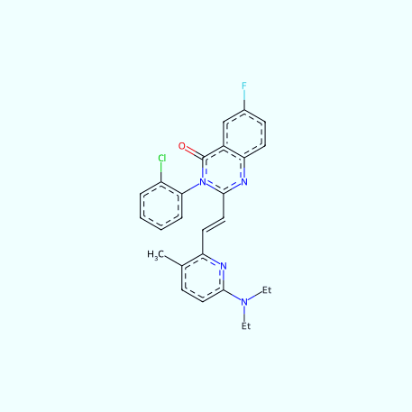 CCN(CC)c1ccc(C)c(C=Cc2nc3ccc(F)cc3c(=O)n2-c2ccccc2Cl)n1